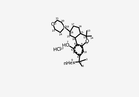 CCCCCCC(C)(C)c1cc(O)c2c(c1)OC(C)(C)C1CCC(N3CCOCC3)CC21.Cl